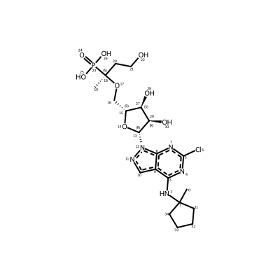 CC1(Nc2nc(Cl)nc3c2cnn3[C@@H]2O[C@H](CO[C@](C)(CCO)P(=O)(O)O)[C@@H](O)[C@H]2O)CCCC1